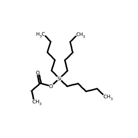 C[CH]C(=O)O[Si](CCCCC)(CCCCC)CCCCC